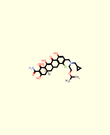 CC(C)OCCN(Cc1cc(O)c2c(c1Cl)CC1C[C@H]3CC(O)=C(C(N)=O)C(=O)[C@@]3(O)C(O)=C1C2=O)CC1CC1